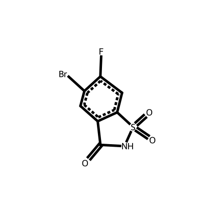 O=C1NS(=O)(=O)c2cc(F)c(Br)cc21